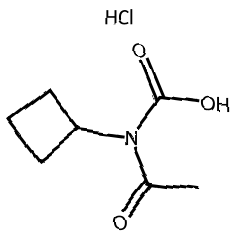 CC(=O)N(C(=O)O)C1CCC1.Cl